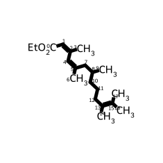 CCOC(=O)C=C(C)C=C(C)CC(C)CCCC(C)=C(C)C